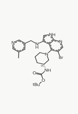 Cc1cncc(CNc2c[nH]c3ncc(Br)c(N4CCC[C@@H](NC(=O)OC(C)(C)C)C4)c23)c1